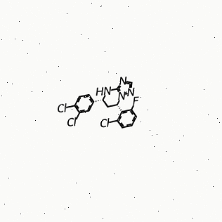 Fc1cccc(Cl)c1[C@@H]1C[C@H](c2ccc(Cl)c(Cl)c2)Nc2ncnn21